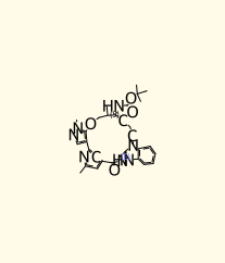 Cc1cc2cc(n1)-c1cnn(C)c1OCC(C)[C@@H](NC(=O)OC(C)(C)C)CCCN1/C(=N/C2=O)Nc2ccccc21